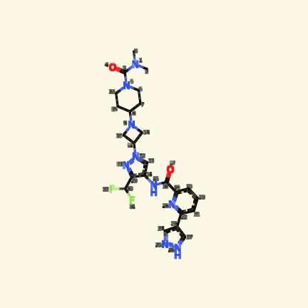 CN(C)C(=O)N1CCC(N2CC(n3cc(NC(=O)c4cccc(-c5cn[nH]c5)n4)c(C(F)F)n3)C2)CC1